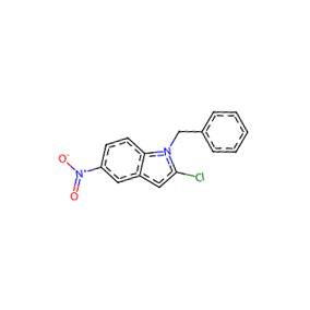 O=[N+]([O-])c1ccc2c(c1)cc(Cl)n2Cc1ccccc1